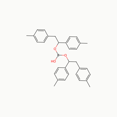 Cc1ccc(CC(OB(O)OC(Cc2ccc(C)cc2)c2ccc(C)cc2)c2ccc(C)cc2)cc1